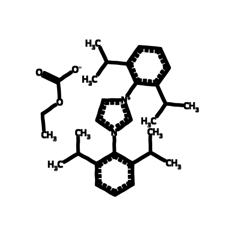 CC(C)c1cccc(C(C)C)c1-n1cc[n+](-c2c(C(C)C)cccc2C(C)C)c1.CCOC(=O)[O-]